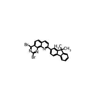 CC1(C)c2ccccc2-c2ccc(-c3ccc4ccc5c(Br)nc(Br)nc5c4n3)cc21